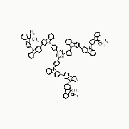 CC1(C)c2ccccc2-c2ccc(-n3c4ccccc4c4ccc(-c5ccc6c7ccccc7n(-c7ccc(-c8nc(-c9ccc(-n%10c%11ccccc%11c%11ccc(-c%12ccc%13c%14ccccc%14n(-c%14ccc%15c(c%14)C(C)(C)c%14ccccc%14-%15)c%13c%12)cc%11%10)cc9)nc(-c9cccc(-n%10c%11ccccc%11c%11ccc(-c%12ccc%13c%14ccccc%14n(-c%14ccc%15c(c%14)C(C)(C)c%14ccccc%14-%15)c%13c%12)cc%11%10)c9)n8)cc7)c6c5)cc43)cc21